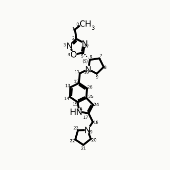 CCc1noc([C@@H]2CCCN2Cc2ccc3[nH]c(CN4CCCC4)cc3c2)n1